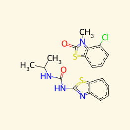 CC(C)NC(=O)Nc1nc2ccccc2s1.Cn1c(=O)sc2cccc(Cl)c21